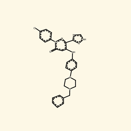 O=c1cc(Nc2ccc(N3CCN(Cc4ccccc4)CC3)cc2)c(-c2nc[nH]n2)nn1-c1ccc(Cl)cc1